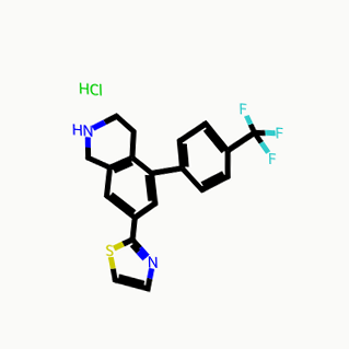 Cl.FC(F)(F)c1ccc(-c2cc(-c3nccs3)cc3c2CCNC3)cc1